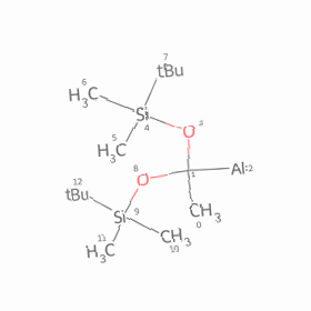 C[C]([Al])(O[Si](C)(C)C(C)(C)C)O[Si](C)(C)C(C)(C)C